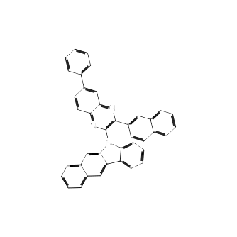 c1ccc(-c2ccc3nc(-n4c5ccccc5c5cc6ccccc6cc54)c(-c4ccc5ccccc5c4)nc3c2)cc1